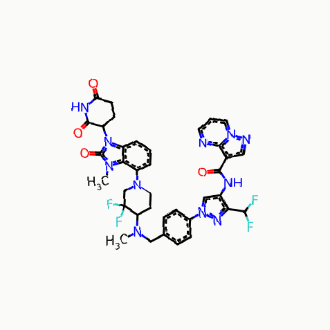 CN(Cc1ccc(-n2cc(NC(=O)c3cnn4cccnc34)c(C(F)F)n2)cc1)C1CCN(c2cccc3c2n(C)c(=O)n3C2CCC(=O)NC2=O)CC1(F)F